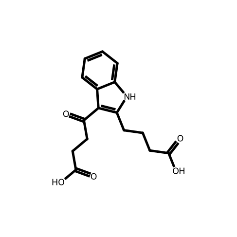 O=C(O)CCCc1[nH]c2ccccc2c1C(=O)CCC(=O)O